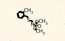 COP(=O)(N=CSCc1ccccc1C)OC